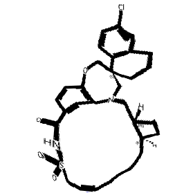 O=C1NS(=O)(=O)C/C=C\CCC[C@@H]2CC[C@H]2CN2C[C@@]3(CCCc4cc(Cl)ccc43)COc3ccc1cc32